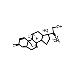 C[C@@H]1CC2C3CCC4=CC(=O)C=CC4(C)[C@@]34O[C@H]4CC2[C@@]1(O)C(=O)CO